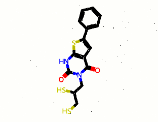 O=c1[nH]c2sc(-c3ccccc3)cc2c(=O)n1CC(S)CS